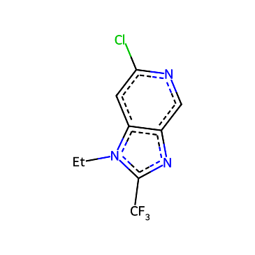 CCn1c(C(F)(F)F)nc2cnc(Cl)cc21